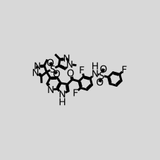 CC1=NN=C(C)C1(c1cnc2[nH]cc(C(=O)c3c(F)ccc(NS(=O)(=O)c4cccc(F)c4)c3F)c2c1)S(=O)(=O)c1cn(C)nc1C